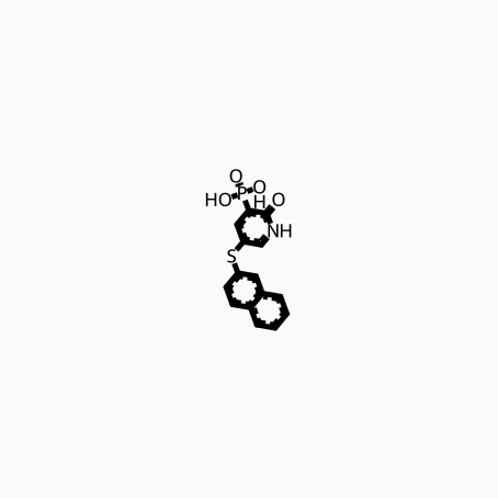 O=c1[nH]cc(Sc2ccc3ccccc3c2)cc1P(=O)(O)O